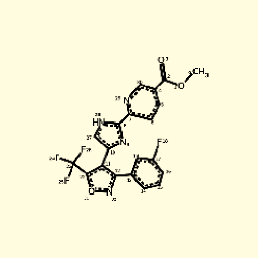 COC(=O)c1ccc(-c2nc(-c3c(-c4cccc(F)c4)noc3C(F)(F)F)c[nH]2)nc1